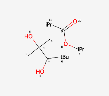 CC(C)(C)C(O)C(C)(C)O.CC(C)OC(=O)C(C)C